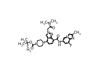 Cc1cn2cc(NC(=O)c3ccc(N4CCN(C(=O)OC(C)(C)C)CC4)c4cn(CC(=O)N(C)C)nc34)cc(F)c2n1